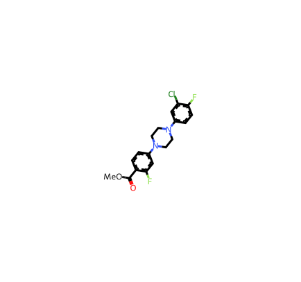 COC(=O)c1ccc(N2CCN(c3ccc(F)c(Cl)c3)CC2)cc1F